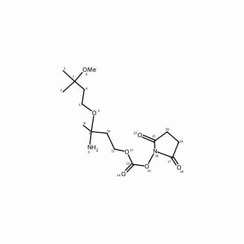 COC(C)(C)CCOC(C)(N)CCOC(=O)ON1C(=O)CCC1=O